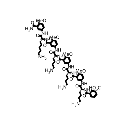 COc1ccc(NC(=O)[C@H](CCCCCN)NC(=O)c2cc(NC(=O)[C@H](CCCCN)NC(=O)c3cc(NC(=O)[C@H](CCCCN)NC(=O)c4cc(NC(=O)[C@H](CCCCN)NC(=O)c5ccccc5C(=O)O)ccc4OC)ccc3OC)ccc2OC)cc1C(N)=O